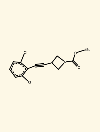 CC(C)(C)OC(=O)N1CC(C#Cc2c(Cl)cccc2Cl)C1